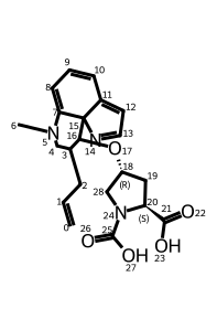 C=CCC1CN(C)C2=CC=CC3=CC=NC32C1O[C@@H]1C[C@@H](C(=O)O)N(C(=O)O)C1